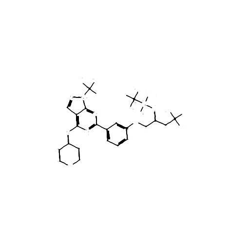 CC(C)(C)[CH]C(COc1cccc(-c2nc(NC3CCOCC3)c3cnn(C(C)(C)C)c3n2)c1)O[Si](C)(C)C(C)(C)C